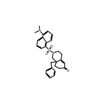 CN(C)c1cccc2c(S(=O)(=O)N3CCC4=CC(=O)CCC4(Cc4ccccc4)C3)cccc12